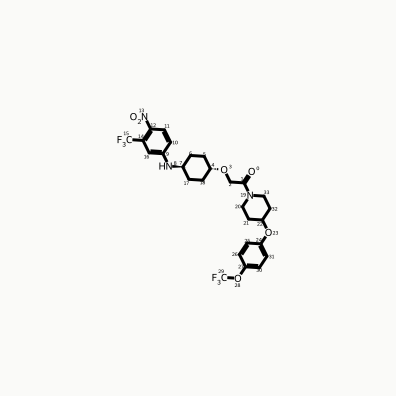 O=C(CO[C@H]1CC[C@H](Nc2ccc([N+](=O)[O-])c(C(F)(F)F)c2)CC1)N1CCC(Oc2ccc(OC(F)(F)F)cc2)CC1